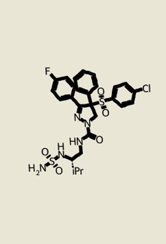 CC(C)[C@@H](CNC(=O)N1CC(c2ccccc2)(S(=O)(=O)c2ccc(Cl)cc2)C(c2ccc(F)cc2)=N1)NS(N)(=O)=O